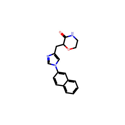 O=C1NCCOC1Cc1cn(-c2ccc3ccccc3c2)cn1